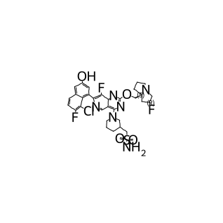 NS(=O)(=O)CC1CCCN(c2nc(OC[C@@]34CCCN3C[C@H](F)C4)nc3c(F)c(-c4cc(O)cc5ccc(F)c(Cl)c45)ncc23)C1